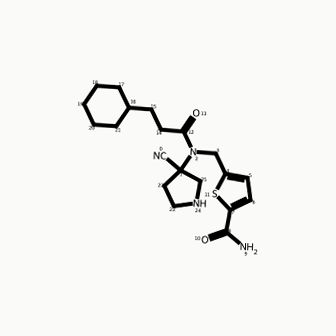 N#CC1(N(Cc2ccc(C(N)=O)s2)C(=O)[CH]CC2CCCCC2)CCNC1